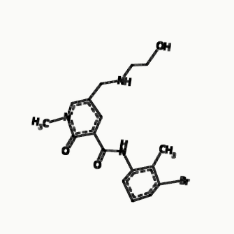 Cc1c(Br)cccc1NC(=O)c1cc(CNCCO)cn(C)c1=O